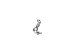 ON=C1CCCc2cc(OCc3ccccc3)ccc21